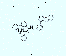 N/C(=N\C(=N/Cc1cccc(-c2cccc3c2Cc2ccccc2-3)c1)c1cccc(-c2ccccc2)c1)c1ccccc1